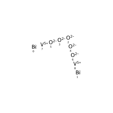 [Bi].[Bi].[O-2].[O-2].[O-2].[O-2].[O-2].[V+5].[V+5]